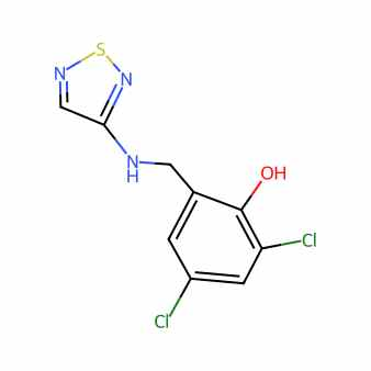 Oc1c(Cl)cc(Cl)cc1CNc1cnsn1